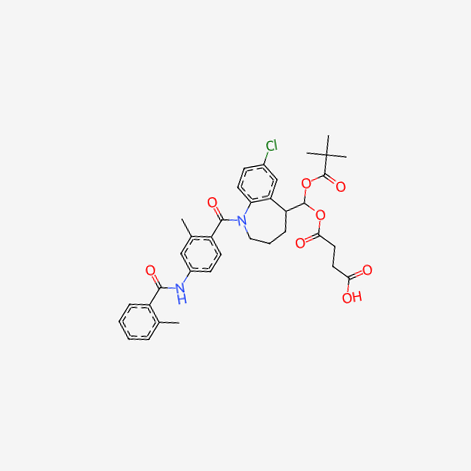 Cc1ccccc1C(=O)Nc1ccc(C(=O)N2CCCC(C(OC(=O)CCC(=O)O)OC(=O)C(C)(C)C)c3cc(Cl)ccc32)c(C)c1